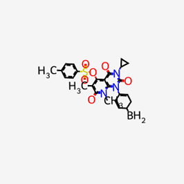 BC1C=CC(n2c(=O)n(C3CC3)c(=O)c3c(OS(=O)(=O)c4ccc(C)cc4)c(C)c(=O)n(C)c32)=CC1